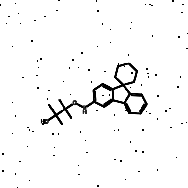 CC(C)(O)C(C)(C)OBc1ccc2c(c1)-c1ccccc1C21CCCCC1